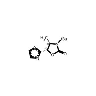 C[C@H]1[C@@H](c2nccs2)OC(=O)N1C(C)(C)C